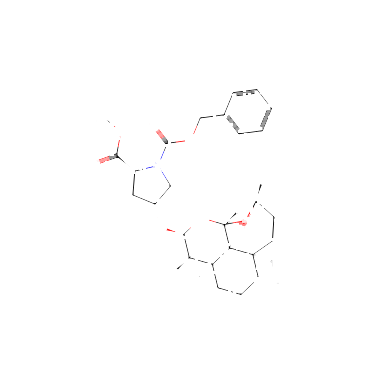 COC(=O)[C@@H]1C[C@@H](O[C@H]2O[C@@H]3O[C@@]4(C)CC[C@H]5[C@H](C)CC[C@@H]([C@H]2C)[C@@]35OO4)CN1C(=O)OCc1ccccc1